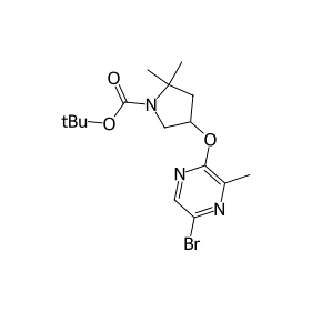 Cc1nc(Br)cnc1OC1CN(C(=O)OC(C)(C)C)C(C)(C)C1